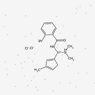 CC1=CC[C]([Ti+2]([NH]C(=O)c2ccccc2C(C)C)[SiH](C)C)=C1.[Cl-].[Cl-]